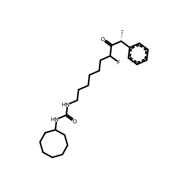 C[C@@H](C(=O)C(F)CCCCCCNC(=O)NC1CCCCCCC1)c1ccccc1